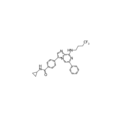 O=C(NC1CC1)c1ccc(-c2cnc3c(NCCCC(F)(F)F)nc(-c4ccccc4)cn23)cc1